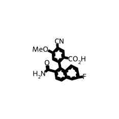 COc1cc(-c2c(C(N)=O)ccc3cc(F)ccc23)c(C(=O)O)cc1C#N